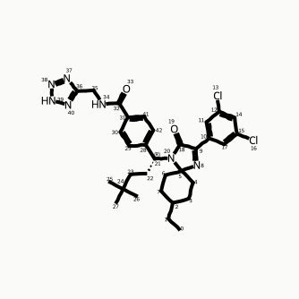 CCC1CCC2(CC1)N=C(c1cc(Cl)cc(Cl)c1)C(=O)N2[C@H](CCC(C)(C)C)c1ccc(C(=O)NCc2nn[nH]n2)cc1